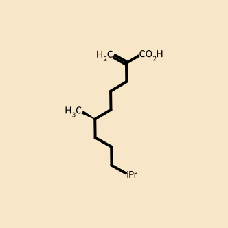 C=C(CCC[C@H](C)CCCC(C)C)C(=O)O